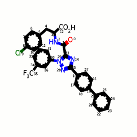 O=C(NC(Cc1ccc(Cl)cc1)C(=O)O)c1nc(-c2ccc(-c3ccccc3)cc2)nn1-c1cccc(C(F)(F)F)c1